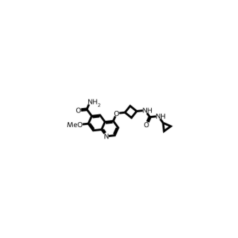 COc1cc2nccc(OC3CC(NC(=O)NC4CC4)C3)c2cc1C(N)=O